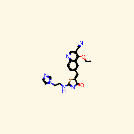 CCOc1c(C#N)cnc2ccc(/C=C3\SC(NCCn4ccnc4)=NC3=O)cc12